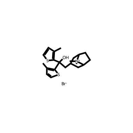 Cc1ccsc1C(O)(CC1CC2CCC(C1)[N+]2(C)C)c1sccc1C.[Br-]